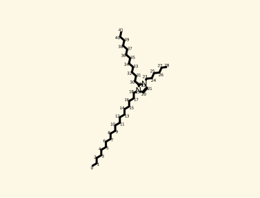 CCCCCCCCCCCCCCCCCCCN1C=CN(CCCCCC)C1CCCCCCCCCCCC